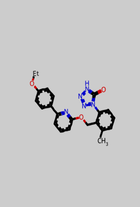 CCOc1ccc(-c2cccc(OCc3c(C)cccc3-n3nn[nH]c3=O)n2)cc1